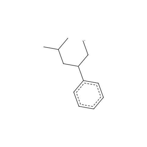 [CH2]CC(CC(C)C)c1ccccc1